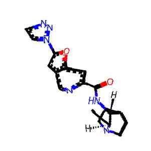 C[C@H]1[C@H](NC(=O)c2cc3oc(-n4ccnn4)cc3cn2)C2CCN1CC2